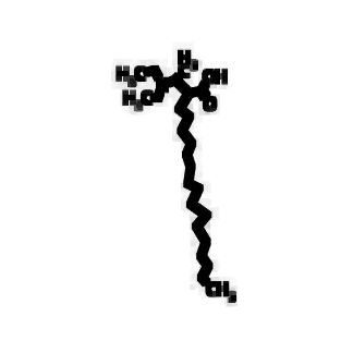 CCCCCCCCCCCCCCCCC(C(=O)O)C(C)N(CC)CC